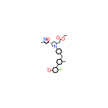 CCOC(=O)CC1C[C@@H](c2cc(C)no2)CN1c1ccc(Cc2ccc(-c3cc(OC)ccc3F)cc2C)cc1